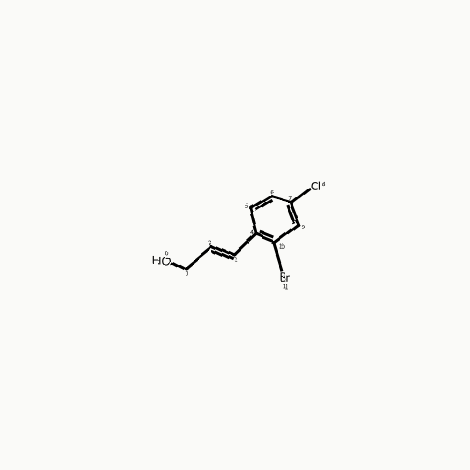 OC/C=C/c1ccc(Cl)cc1Br